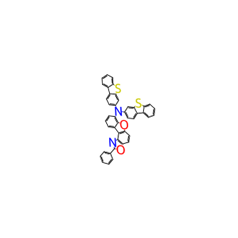 c1ccc(-c2nc3c(ccc4oc5c(N(c6ccc7c(c6)sc6ccccc67)c6ccc7c(c6)sc6ccccc67)cccc5c43)o2)cc1